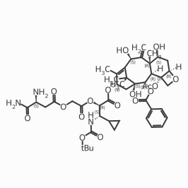 C=C1[C@H](O)C2=C(C)[C@@H](OC(=O)[C@H](OC(=O)COC(=O)C[C@H](N)C(N)=O)[C@@H](NC(=O)OC(C)(C)C)C3CC3)C[C@@](O)([C@@H](OC(=O)c3ccccc3)[C@@H]3[C@]4(OC(C)=O)CO[C@@H]4C[C@H](O)[C@@]13C)C2(C)C